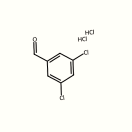 Cl.Cl.O=Cc1cc(Cl)cc(Cl)c1